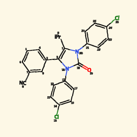 CC(C)c1c(-c2cccc(C#N)c2)n(-c2ccc(Cl)cc2)c(=O)n1-c1ccc(Cl)cc1